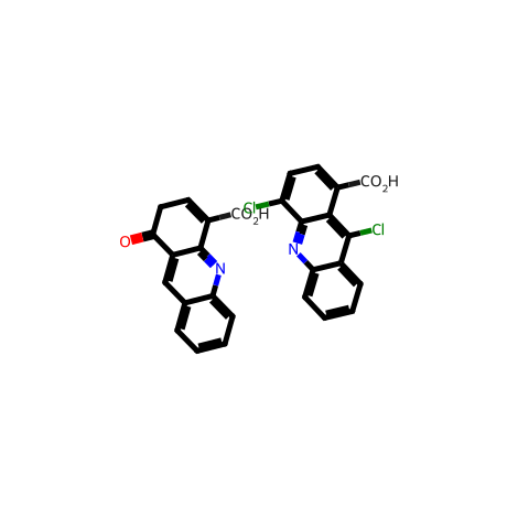 O=C(O)C1=CCC(=O)c2cc3ccccc3nc21.O=C(O)c1ccc(Cl)c2nc3ccccc3c(Cl)c12